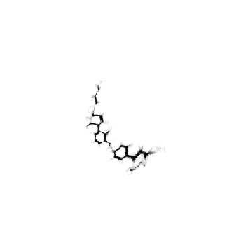 Cc1nc(OCCCO)ccc1-c1cccc(COc2ccc(-c3cc(O)n[s+]3[O-])cc2)c1C